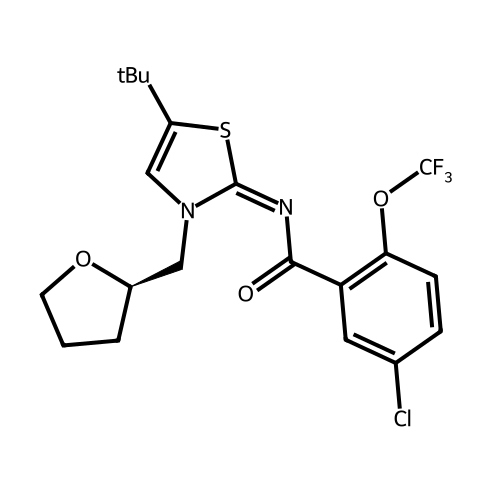 CC(C)(C)c1cn(C[C@H]2CCCO2)c(=NC(=O)c2cc(Cl)ccc2OC(F)(F)F)s1